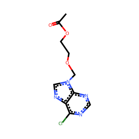 CC(=O)OCCOCn1cnc2c(Cl)ncnc21